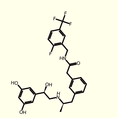 C[C@H](Cc1cccc(CC(=O)NCc2cc(C(F)(F)F)ccc2F)c1)NC[C@H](O)c1cc(O)cc(O)c1